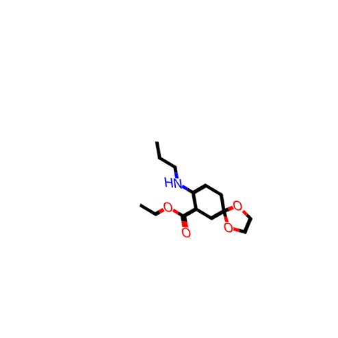 CCCNC1CCC2(CC1C(=O)OCC)OCCO2